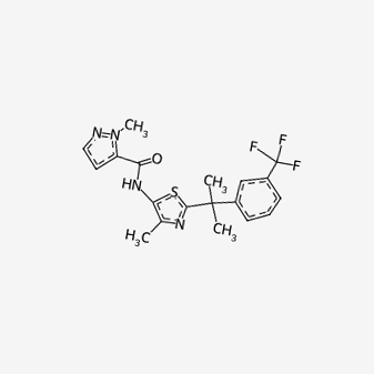 Cc1nc(C(C)(C)c2cccc(C(F)(F)F)c2)sc1NC(=O)c1ccnn1C